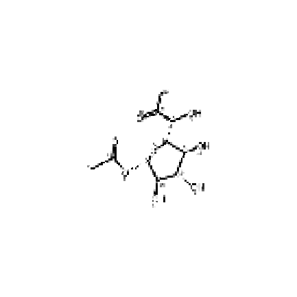 CC(=O)O[C@@H]1O[C@H](C(O)C(C)=O)[C@@H](O)[C@H](O)[C@H]1O